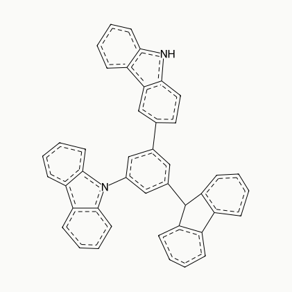 c1ccc2c(c1)-c1ccccc1C2c1cc(-c2ccc3[nH]c4ccccc4c3c2)cc(-n2c3ccccc3c3ccccc32)c1